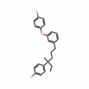 CCC(C)(CCCc1cccc(Oc2ccc(F)cc2)c1)c1ccc(F)cc1